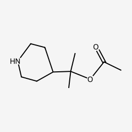 CC(=O)OC(C)(C)C1CCNCC1